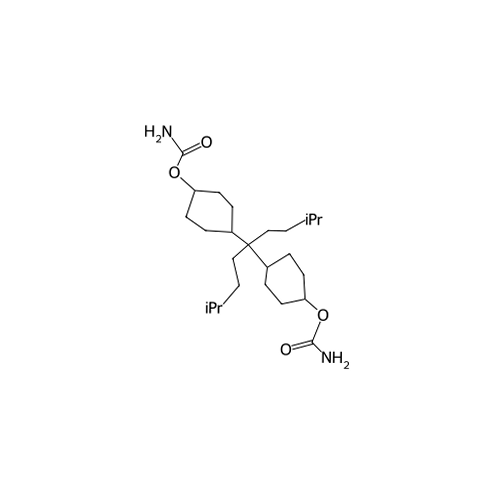 CC(C)CCC(CCC(C)C)(C1CCC(OC(N)=O)CC1)C1CCC(OC(N)=O)CC1